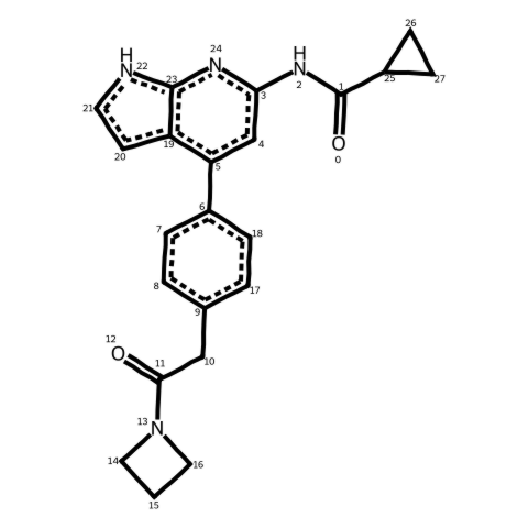 O=C(Nc1cc(-c2ccc(CC(=O)N3CCC3)cc2)c2cc[nH]c2n1)C1CC1